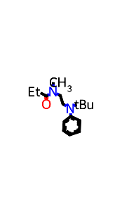 CCC(=O)N(C)CCN(c1ccccc1)C(C)(C)C